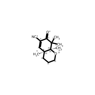 CC1(C)C(=O)C(C#N)=C[C@]2(C)CCCO[C@]12C